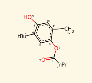 CCCC(=O)Oc1cc(C(C)(C)C)c(O)cc1C